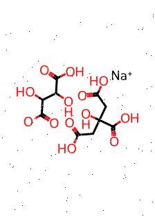 O=C(O)CC(O)(CC(=O)O)C(=O)O.O=C([O-])C(O)C(O)C(=O)O.[Na+]